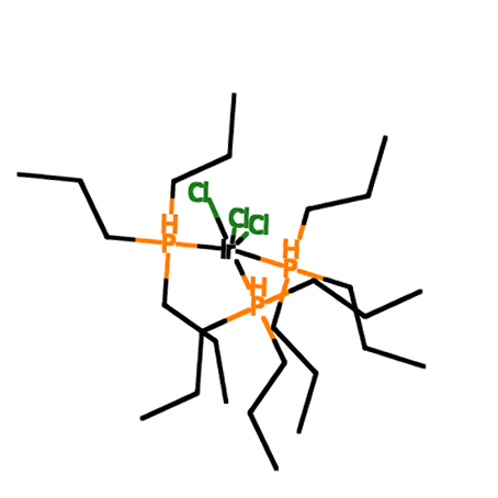 CCC[PH](CCC)(CCC)[Ir]([Cl])([Cl])([Cl])([PH](CCC)(CCC)CCC)[PH](CCC)(CCC)CCC